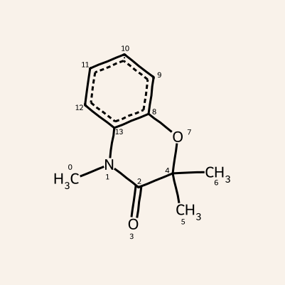 CN1C(=O)C(C)(C)Oc2c[c]ccc21